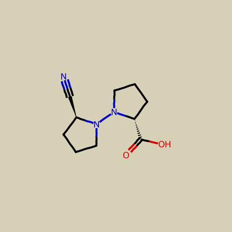 N#C[C@@H]1CCCN1N1CCC[C@@H]1C(=O)O